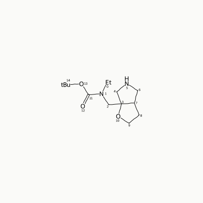 CCN(CC12CNCC1CCO2)C(=O)OC(C)(C)C